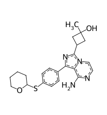 CC1(O)CC(c2nc(-c3ccc(SC4CCCCO4)cc3)c3c(N)nccn23)C1